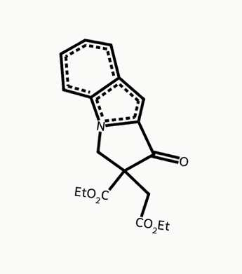 CCOC(=O)CC1(C(=O)OCC)Cn2c(cc3ccccc32)C1=O